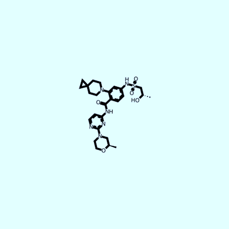 C[C@H](O)CS(=O)(=O)Nc1ccc(C(=O)Nc2ccnc(N3CCO[C@H](C)C3)n2)c(N2CCC3(CC2)CC3)c1